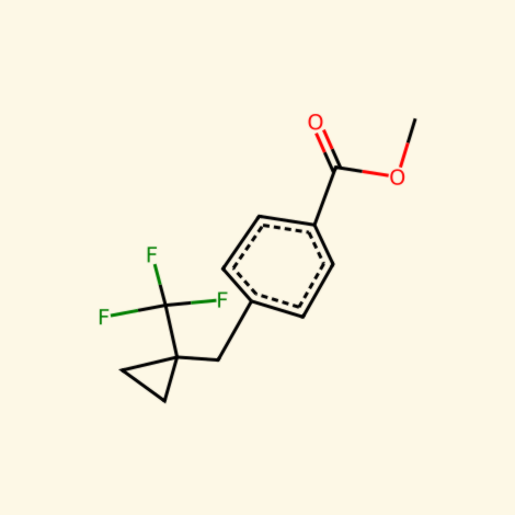 COC(=O)c1ccc(CC2(C(F)(F)F)CC2)cc1